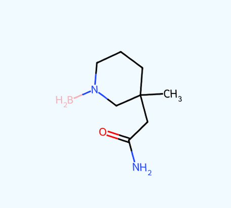 BN1CCCC(C)(CC(N)=O)C1